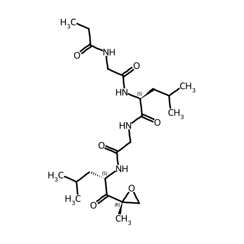 CCC(=O)NCC(=O)N[C@@H](CC(C)C)C(=O)NCC(=O)N[C@@H](CC(C)C)C(=O)[C@@]1(C)CO1